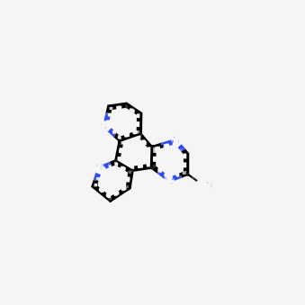 N#Cc1cnc2c3cccnc3c3ncccc3c2n1